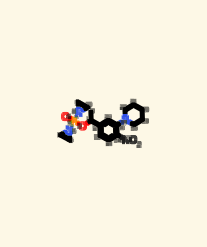 CC(OP(=O)(N1CC1)N1CC1)c1ccc([N+](=O)[O-])c(N2CCCCC2)c1